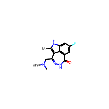 CCCN(C)CC1=NNC(=O)c2cc(F)cc3[nH]c(CC)c1c23